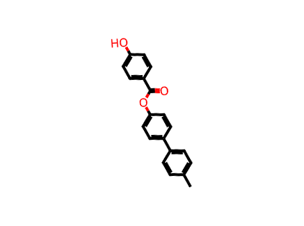 Cc1ccc(-c2ccc(OC(=O)c3ccc(O)cc3)cc2)cc1